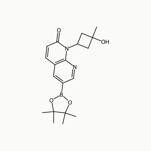 CC1(O)CC(n2c(=O)ccc3cc(B4OC(C)(C)C(C)(C)O4)cnc32)C1